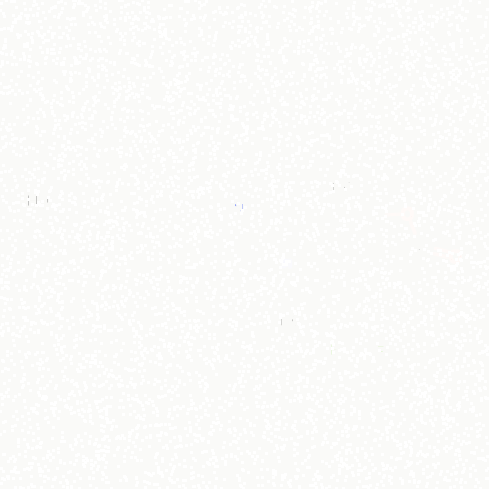 Cc1cccc(-c2ccc(/C=C/C3C4C(C)OC(=O)C4CC(F)(F)C3C)nc2)c1F